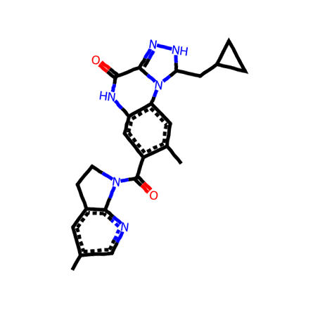 Cc1cnc2c(c1)CCN2C(=O)c1cc2c(cc1C)N1C(=NNC1CC1CC1)C(=O)N2